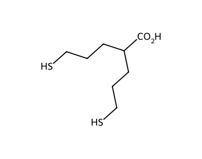 O=C(O)C(CCCS)CCCS